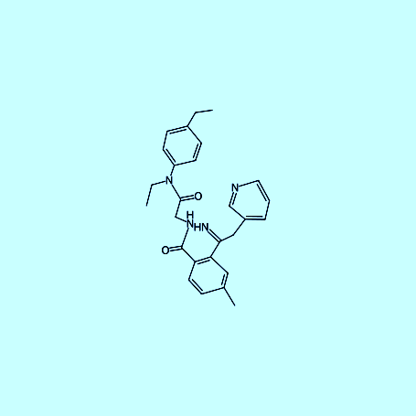 CCc1ccc(N(CC)C(=O)CNC(=O)c2ccc(C)cc2C(=N)Cc2cccnc2)cc1